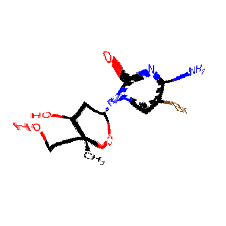 C[C@]1(CO)O[C@@H](n2cc(Br)c(N)nc2=O)C[C@@H]1O